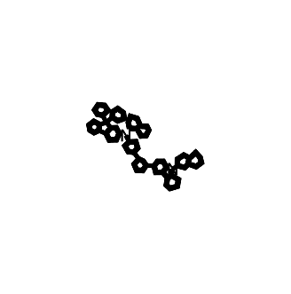 c1ccc(C2(c3ccccc3)c3ccccc3-c3ccc(N(c4ccc(-c5cccc(-c6ccc7c(c6)c6ccccc6n7-c6ccc7ccccc7c6)c5)cc4)c4cccc5ccccc45)cc32)cc1